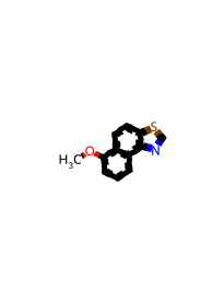 COc1cccc2c1ccc1scnc12